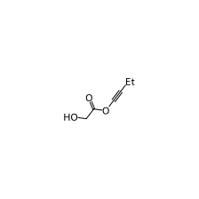 CCC#COC(=O)CO